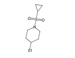 CCC1CCN(S(=O)(=O)C2CC2)CC1